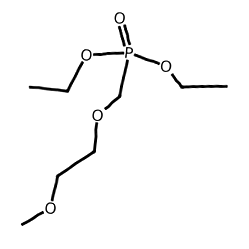 CCOP(=O)(COCCOC)OCC